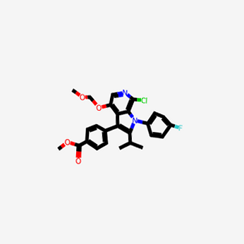 COCOc1cnc(Cl)c2c1c(-c1ccc(C(=O)OC)cc1)c(C(C)C)n2-c1ccc(F)cc1